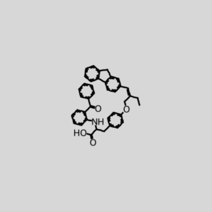 CCC(=Cc1ccc2c(c1)Cc1ccccc1-2)COc1ccc(CC(Nc2ccccc2C(=O)c2ccccc2)C(=O)O)cc1